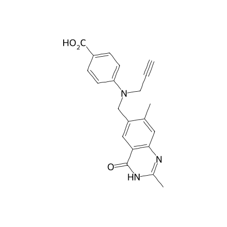 C#CCN(Cc1cc2c(=O)[nH]c(C)nc2cc1C)c1ccc(C(=O)O)cc1